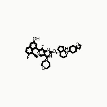 C#Cc1c(F)ccc2cc(O)cc(-c3ncc4c(N5CCCOCC5)nc(OC[C@]56CCC[C@H]5N(C5CCC7(CCO7)CC5)CCC6)nc4c3F)c12